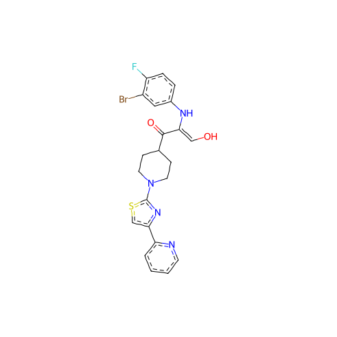 O=C(/C(=C/O)Nc1ccc(F)c(Br)c1)C1CCN(c2nc(-c3ccccn3)cs2)CC1